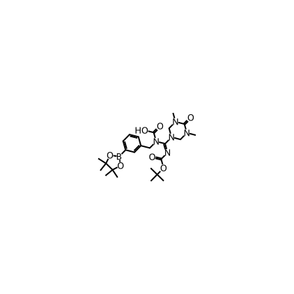 CN1CN(C(=NC(=O)OC(C)(C)C)N(Cc2cccc(B3OC(C)(C)C(C)(C)O3)c2)C(=O)O)CN(C)C1=O